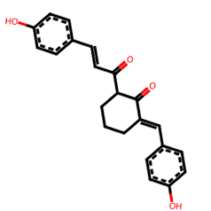 O=C(C=Cc1ccc(O)cc1)C1CCCC(=Cc2ccc(O)cc2)C1=O